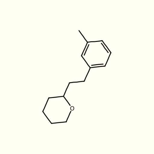 Cc1cccc(CCC2CCCCO2)c1